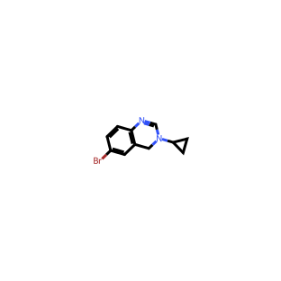 Brc1ccc2c(c1)CN(C1CC1)C=N2